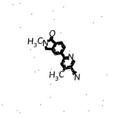 Cc1cc(-c2ccc3c(c2)CN(C)C3=O)ncc1C#N